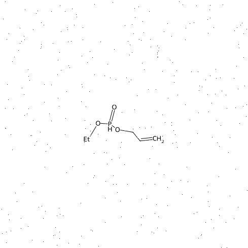 C=CCO[PH](=O)OCC